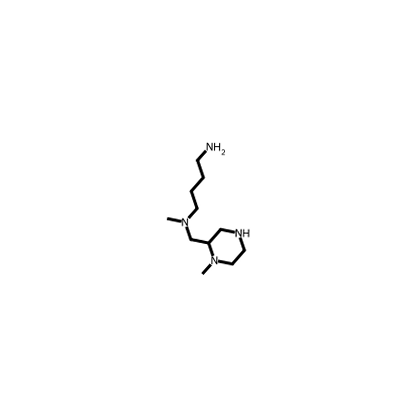 CN(CCCCN)CC1CNCCN1C